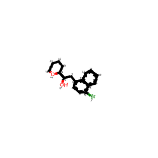 OC(Cc1ccc(Br)c2ccccc12)C1CCCCO1